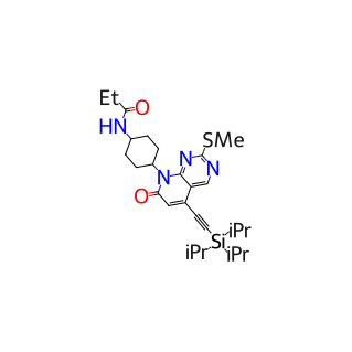 CCC(=O)NC1CCC(n2c(=O)cc(C#C[Si](C(C)C)(C(C)C)C(C)C)c3cnc(SC)nc32)CC1